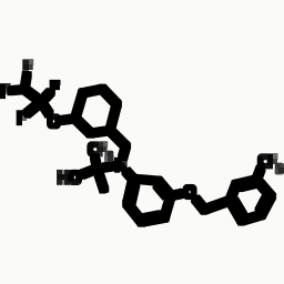 CC(O)(N(CC1CCCC(OC(F)(F)C(F)F)C1)c1cccc(OCc2cccc(C(F)(F)F)c2)c1)C(F)(F)F